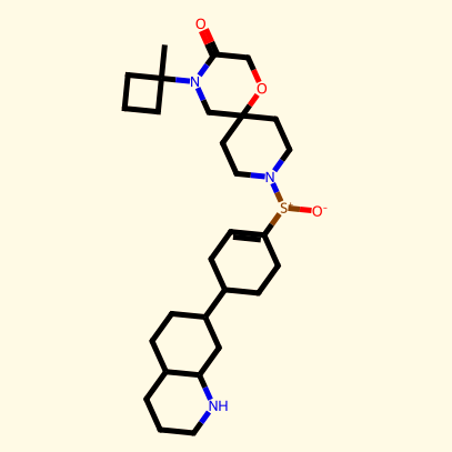 CC1(N2CC3(CCN([S+]([O-])C4=CCC(C5CCC6CCCNC6C5)CC4)CC3)OCC2=O)CCC1